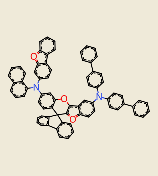 c1ccc(-c2ccc(N(c3ccc(-c4ccccc4)cc3)c3ccc4oc5c(c4c3)Oc3cc(N(c4ccc6c(c4)oc4ccccc46)c4cccc6ccccc46)ccc3C53c4ccccc4-c4ccccc43)cc2)cc1